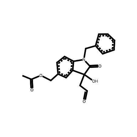 CC(=O)OCc1ccc2c(c1)C(O)(CC=O)C(=O)N2Cc1ccccc1